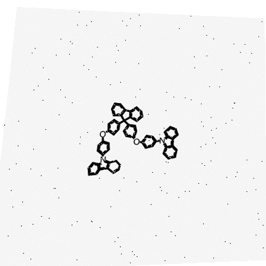 C1=Cc2c(n(-c3ccc(Oc4ccc(C5(c6ccc(Oc7ccc(-n8c9ccccc9c9ccccc98)cc7)cc6)c6ccccc6-c6ccccc65)cc4)cc3)c3ccccc23)CC1